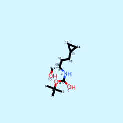 CC(C)(C)OC(O)N[C@H](CO)CCC1CC1